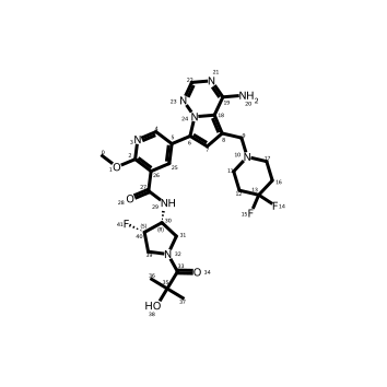 COc1ncc(-c2cc(CN3CCC(F)(F)CC3)c3c(N)ncnn23)cc1C(=O)N[C@@H]1CN(C(=O)C(C)(C)O)C[C@@H]1F